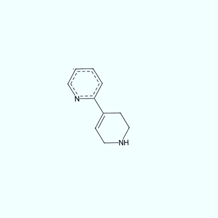 [c]1ccc(C2=CCNCC2)nc1